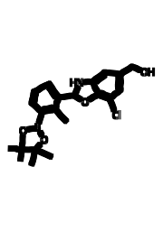 Cc1c(B2OC(C)(C)C(C)(C)O2)cccc1C1Nc2cc(CO)cc(Cl)c2O1